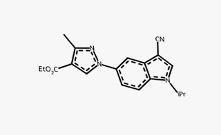 CCOC(=O)c1cn(-c2ccc3c(c2)c(C#N)cn3C(C)C)nc1C